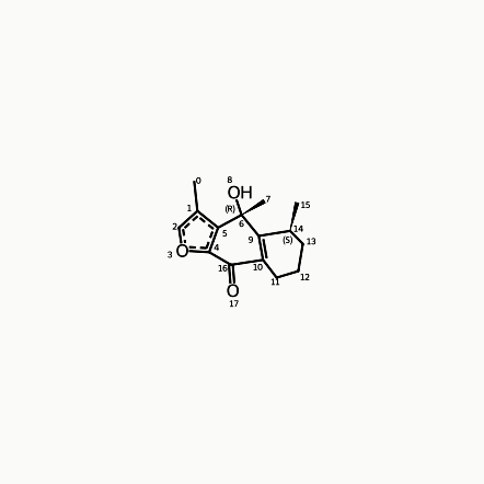 Cc1coc2c1[C@](C)(O)C1=C(CCC[C@@H]1C)C2=O